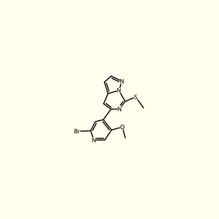 COc1cnc(Br)cc1-c1cc2ccnn2c(SC)n1